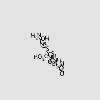 NCC(O)C[n+]1ccc(SCC2=C(C(=O)O)N3C(=O)[C@H](NC(=O)CSc4cc(Cl)ccc4Cl)[C@H]3SC2)cc1